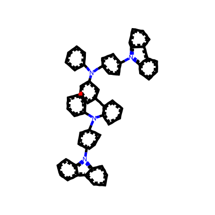 c1ccc(N(c2ccc(-n3c4ccccc4c4ccccc43)cc2)c2cccc(-c3ccccc3N(c3ccccc3)c3ccc(-n4c5ccccc5c5ccccc54)cc3)c2)cc1